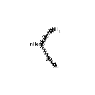 CCCCCC[C@H](CCCCCCCCCCC(=O)OCCCc1ccc(C)cc1)OC(=O)COCC(=O)OCCCc1ccc(N)cc1